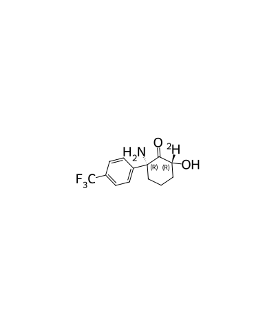 [2H][C@@]1(O)CCC[C@@](N)(c2ccc(C(F)(F)F)cc2)C1=O